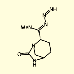 CN/C(=N\N=N)[C@@H]1CCC2CN1C(=O)N2